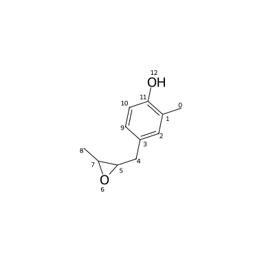 Cc1cc(CC2OC2C)ccc1O